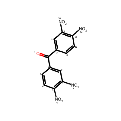 O=C(c1ccc([N+](=O)[O-])c([N+](=O)[O-])c1)c1ccc([N+](=O)[O-])c([N+](=O)[O-])c1